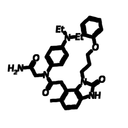 CCN(CC)c1ccc(N(CC(N)=O)C(=O)Cc2c(C)ccc3[nH]c(=O)n(CCCOc4ccccc4)c23)cc1